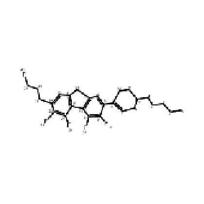 CCCCCC1CC=C(c2cc3c(c(F)c2F)-c2c(cc(CCCF)c(F)c2F)C3)CC1